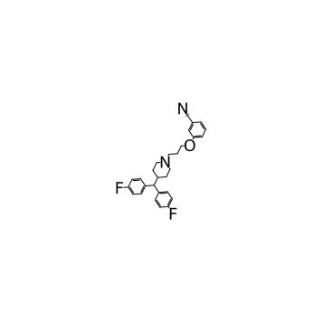 N#Cc1cccc(OCCCN2CCC(C(c3ccc(F)cc3)c3ccc(F)cc3)CC2)c1